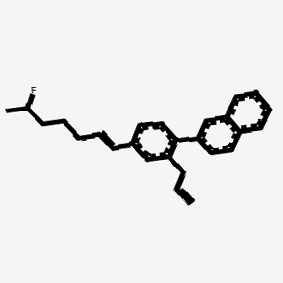 C=CCc1cc(C=CCCCC(C)F)ccc1-c1ccc2ccccc2c1